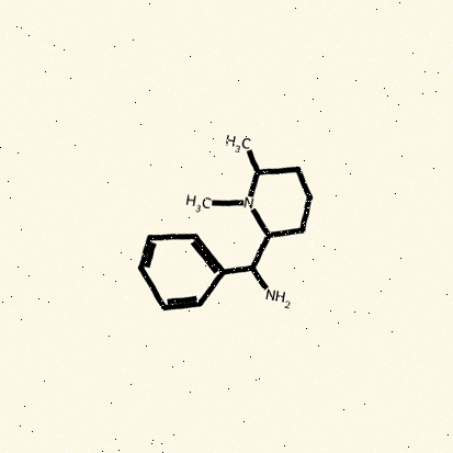 CC1CCCC(C(N)c2ccccc2)N1C